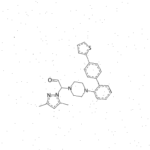 Cc1cc(C)n(C(C=O)N2CCN(c3ccccc3-c3ccc(-c4cccs4)cc3)CC2)n1